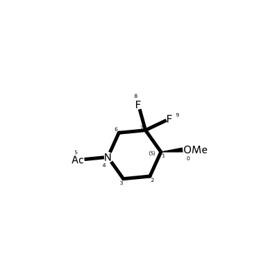 CO[C@H]1CCN(C(C)=O)CC1(F)F